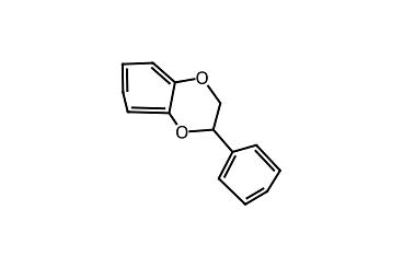 c1ccc(C2COc3ccccc3O2)cc1